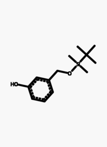 CC(C)(C)[Si](C)(C)OCc1cccc(O)c1